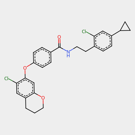 O=C(NCCc1ccc(C2CC2)cc1Cl)c1ccc(Oc2cc3c(cc2Cl)CCCO3)cc1